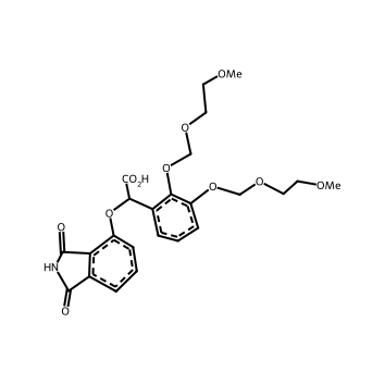 COCCOCOc1cccc(C(Oc2cccc3c2C(=O)NC3=O)C(=O)O)c1OCOCCOC